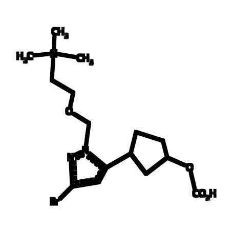 C[Si](C)(C)CCOCn1nc(Br)cc1C1CCC(OC(=O)O)C1